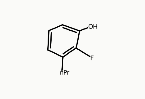 CCCc1cccc(O)c1F